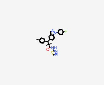 Cc1ccc(C(c2ccc3c(cnn3-c3ccc(F)cc3)c2)C(C)(C)C(=O)Nc2nncs2)cc1